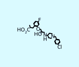 CC(Cc1ccc(F)cc1OC[C@@H](O)CNC1CCN(Cc2ccc(Cl)cc2)CC1)C(=O)O